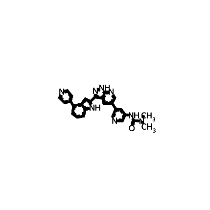 CN(C)C(=O)Nc1cncc(-c2cnc3[nH]nc(-c4cc5c(-c6ccncc6)cccc5[nH]4)c3c2)c1